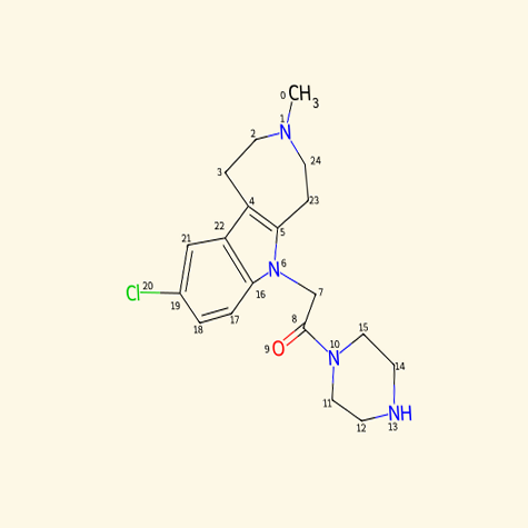 CN1CCc2c(n(CC(=O)N3CCNCC3)c3ccc(Cl)cc23)CC1